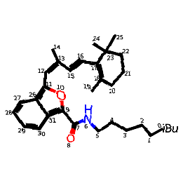 CCC(C)CCCCCNC(=O)c1oc(C=C(C)C=CC2=C(C)CCCC2(C)C)c2ccccc12